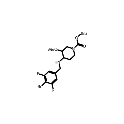 COC1CN(C(=O)OC(C)(C)C)CCC1NCc1cc(F)c(Br)c(F)c1